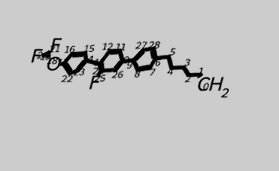 C=CCCCCc1ccc(-c2ccc(-c3ccc(OC(F)F)cc3)c(F)c2)cc1